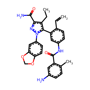 C=Cc1ccc(NC(=O)c2cc(N)ccc2C)cc1-c1c(CC)c(C(N)=O)nn1-c1ccc2c(c1)OCO2